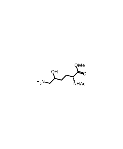 COC(=O)[C@H](CCC(O)CN)NC(C)=O